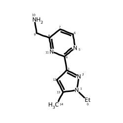 CCn1nc(-c2nccc(CN)n2)cc1C